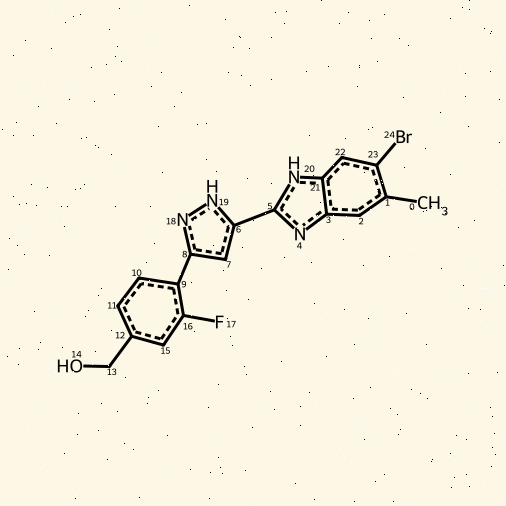 Cc1cc2nc(-c3cc(-c4ccc(CO)cc4F)n[nH]3)[nH]c2cc1Br